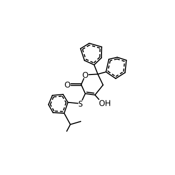 CC(C)c1ccccc1SC1=C(O)CC(c2ccccc2)(c2ccccc2)OC1=O